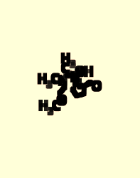 COCCN(C)[C@@H](C)N(O)N1CCCC1C=O